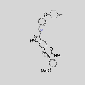 COc1ccc2c(c1)[C@]1(C[C@H]1c1ccc3c(/C=C/c4ccc(OC5CCN(C)CC5)cc4)n[nH]c3c1)C(=O)N2